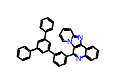 c1ccc(-c2cc(-c3ccccc3)cc(-c3cccc(-c4nc5ccccc5c5nc6ccccn6c45)c3)c2)cc1